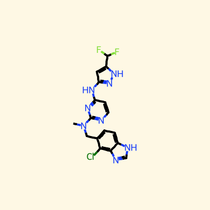 CN(Cc1ccc2[nH]cnc2c1Cl)c1nccc(Nc2cc(C(F)F)[nH]n2)n1